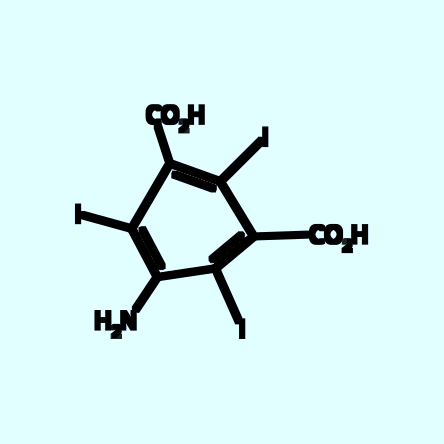 Nc1c(I)c(C(=O)O)c(I)c(C(=O)O)c1I